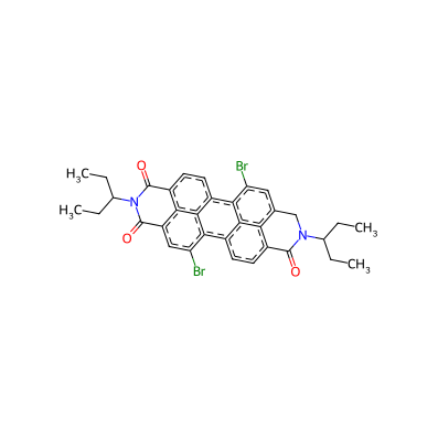 CCC(CC)N1Cc2cc(Br)c3c4ccc5c6c(cc(Br)c(c7ccc(c2c73)C1=O)c64)C(=O)N(C(CC)CC)C5=O